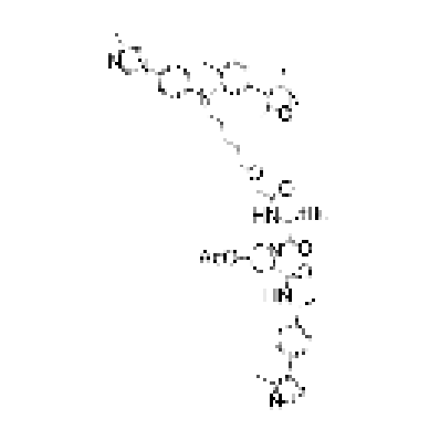 CC(=O)O[C@@H]1C[C@@H](C(=O)N[C@@H](C)c2ccc(-c3scnc3C)cc2)N(C(=O)[C@@H](NC(=O)COCCCCCN(c2ccc(-n3cnc(C)c3)cc2)c2cc(-c3c(C)noc3C)ccc2C)C(C)(C)C)C1